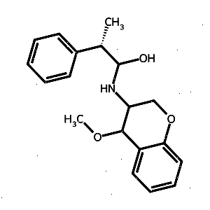 COC1c2ccccc2OCC1NC(O)[C@@H](C)c1ccccc1